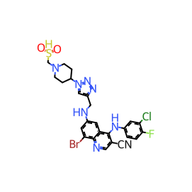 N#Cc1cnc2c(Br)cc(NCc3cn(C4CCN(C[SH](=O)=O)CC4)nn3)cc2c1Nc1ccc(F)c(Cl)c1